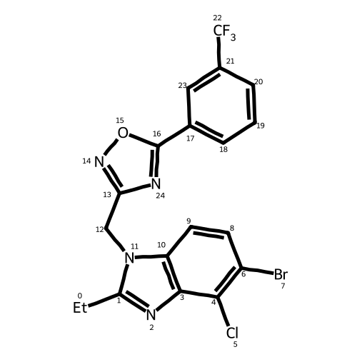 CCc1nc2c(Cl)c(Br)ccc2n1Cc1noc(-c2cccc(C(F)(F)F)c2)n1